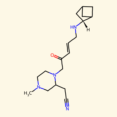 CN1CCN(CC(=O)/C=C/CN[C@@H]2CC3CC2C3)C(CC#N)C1